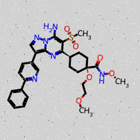 COCCO[C@]1(C(=O)NOC)CC[C@@H](c2nc3c(-c4ccc(-c5ccccc5)nc4)cnn3c(N)c2S(C)(=O)=O)CC1